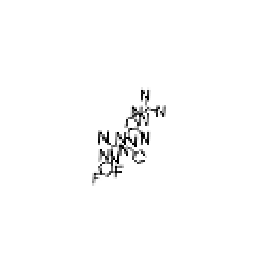 N#CC(C#N)=C1N=c2ccc(-c3nc(/C(C#N)=C4/N=c5cc(F)cc(F)c5=N4)nc(-c4ccccc4)n3)c(C#N)c2=N1